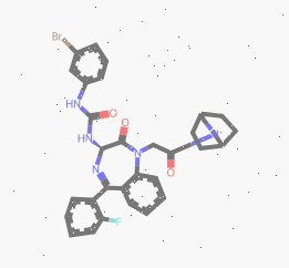 O=C(Nc1cccc(Br)c1)N[C@@H]1N=C(c2ccccc2F)c2ccccc2N(CC(=O)N2CC3CCC(CC3)C2)C1=O